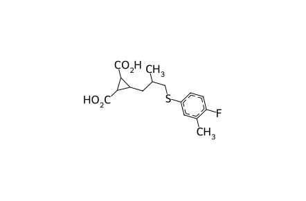 Cc1cc(SCC(C)CC2C(C(=O)O)C2C(=O)O)ccc1F